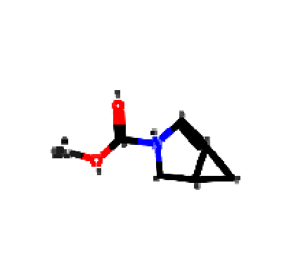 CC(C)(C)OC(=O)N1C=C2CC2C1